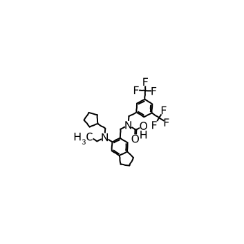 CCN(CC1CCCC1)c1cc2c(cc1CN(Cc1cc(C(F)(F)F)cc(C(F)(F)F)c1)C(=O)O)CCC2